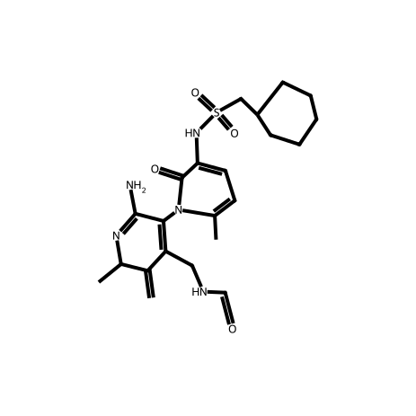 C=C1C(CNC=O)=C(n2c(C)ccc(NS(=O)(=O)CC3CCCCC3)c2=O)C(N)=NC1C